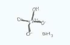 [BiH3].[O-][Cl+3]([O-])([O-])O